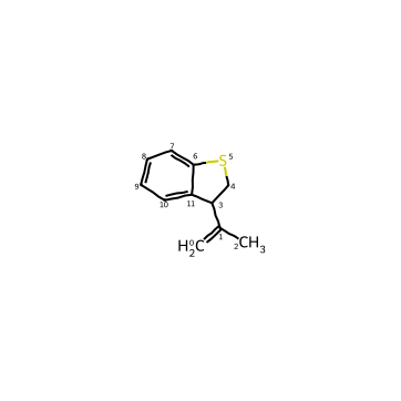 C=C(C)C1CSc2ccccc21